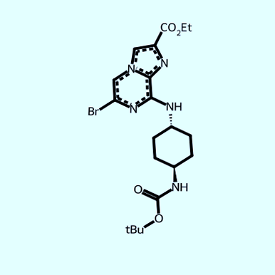 CCOC(=O)c1cn2cc(Br)nc(N[C@H]3CC[C@H](NC(=O)OC(C)(C)C)CC3)c2n1